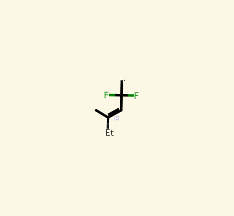 [CH2]C(F)(F)/C=C(\C)CC